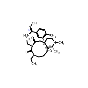 CCN1CCC[C@@]2(O)[C@@H](C)N(C)CC[C@]2(c2cc(/C(N)=N\O)ccc2C)CC(=O)N(CC)C1=O